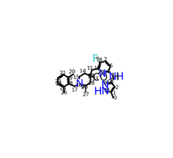 Cc1cc(Nc2ccc(F)c(C[C@@]3(C(=O)O)CCN(Cc4c(C)cccc4C)[C@H](C)C3)n2)n[nH]1